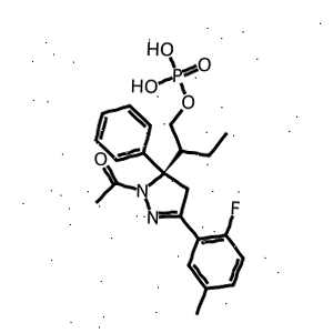 CCC(COP(=O)(O)O)[C@@]1(c2ccccc2)CC(c2cc(C)ccc2F)=NN1C(C)=O